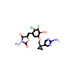 CN1C(=O)S/C(=C\c2cc(OCC3(c4cnc(N)nc4)CC3)c(O)c(F)c2Br)C1=O